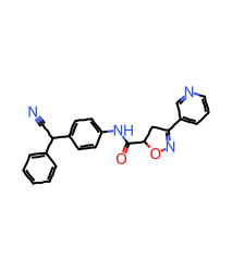 N#CC(c1ccccc1)c1ccc(NC(=O)C2CC(c3cccnc3)=NO2)cc1